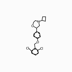 Clc1cccc(Cl)c1COc1ccc(C2CN(C3CCC3)CCO2)cc1